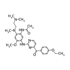 CCOc1ccc(C(=O)c2ccnc(Nc3cc(NC(C)=O)c(N(C)CCN(C)C)cc3OC)n2)cc1